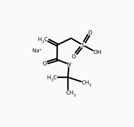 C=C(CS(=O)(=O)O)C(=O)[N-]C(C)(C)C.[Na+]